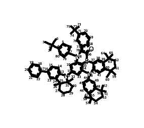 CC(C)(C)c1ccc(N2c3cc(N4c5ccc(-c6ccccc6)cc5C5(C)CCCCC45C)cc4c3B(c3cc5c(cc3N4c3ccc4c(c3)C(C)(C)CCC4(C)C)C(C)(C)CCC5(C)C)c3oc4ccc(C(C)(C)C)cc4c32)cc1